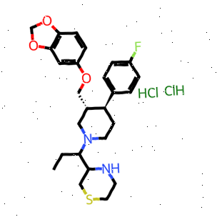 CCC(C1CSCCN1)N1CC[C@H](c2ccc(F)cc2)[C@@H](COc2ccc3c(c2)OCO3)C1.Cl.Cl